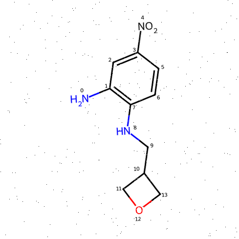 Nc1cc([N+](=O)[O-])ccc1NCC1COC1